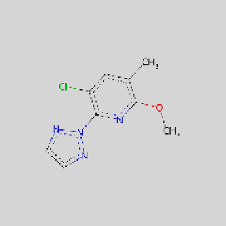 COc1nc(-n2nccn2)c(Cl)cc1C